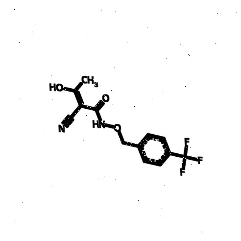 C/C(O)=C(/C#N)C(=O)NOCc1ccc(C(F)(F)F)cc1